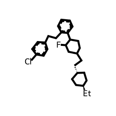 CC[C@H]1CC[C@H](CCC2CCC(c3ccccc3CCc3ccc(Cl)cc3)C(F)C2)CC1